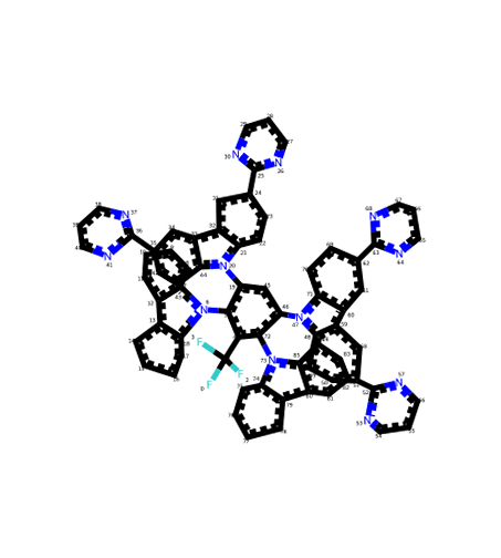 FC(F)(F)c1c(-n2c3ccccc3c3ccccc32)c(-n2c3ccc(-c4ncccn4)cc3c3cc(-c4ncccn4)ccc32)cc(-n2c3ccc(-c4ncccn4)cc3c3cc(-c4ncccn4)ccc32)c1-n1c2ccccc2c2ccccc21